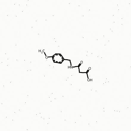 COc1ccc(CNC(=O)CC(=O)O)cc1